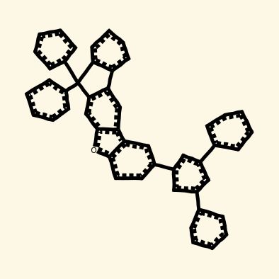 c1ccc(-c2cc(-c3ccccc3)cc(-c3ccc4oc5cc6c(cc5c4c3)-c3ccccc3C6(c3ccccc3)c3ccccc3)c2)cc1